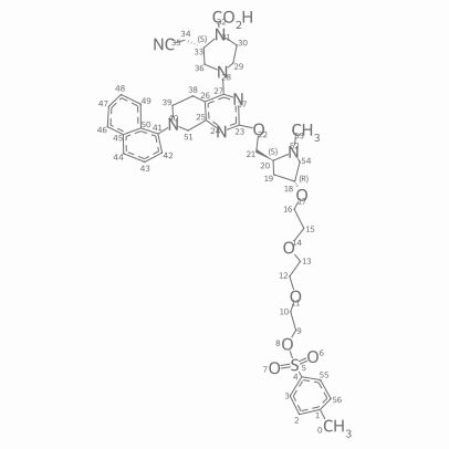 Cc1ccc(S(=O)(=O)OCCOCCOCCO[C@@H]2C[C@@H](COc3nc4c(c(N5CCN(C(=O)O)[C@@H](CC#N)C5)n3)CCN(c3cccc5ccccc35)C4)N(C)C2)cc1